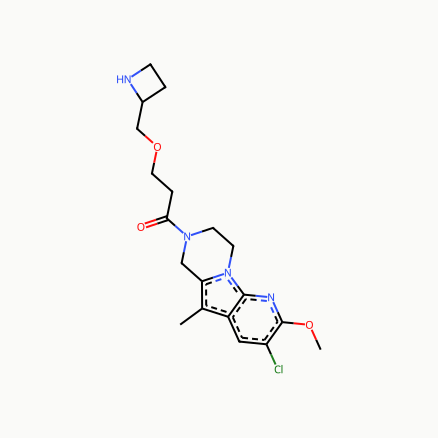 COc1nc2c(cc1Cl)c(C)c1n2CCN(C(=O)CCOCC2CCN2)C1